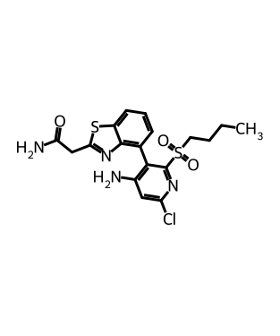 CCCCS(=O)(=O)c1nc(Cl)cc(N)c1-c1cccc2sc(CC(N)=O)nc12